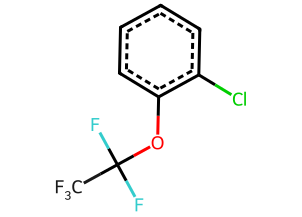 FC(F)(F)C(F)(F)Oc1ccccc1Cl